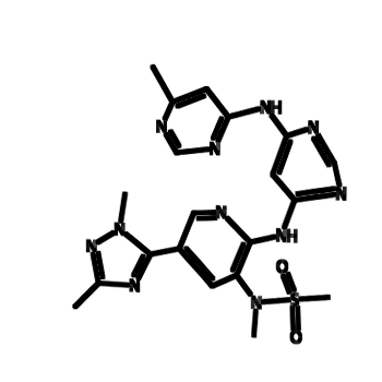 Cc1cc(Nc2cc(Nc3ncc(-c4nc(C)nn4C)cc3N(C)S(C)(=O)=O)ncn2)ncn1